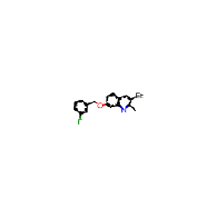 CCc1cc2ccc(OCc3cccc(F)c3)cc2nc1C